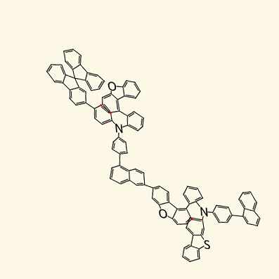 c1ccc(N(c2ccc(-c3ccc4c(c3)C3(c5ccccc5-c5ccccc53)c3ccccc3-4)cc2)c2ccc(-c3cccc4cc(-c5ccc6c(c5)oc5cccc(-c7ccccc7N(c7ccc(-c8cccc9ccccc89)cc7)c7ccc8c(c7)sc7ccccc78)c56)ccc34)cc2)c(-c2cccc3oc4ccccc4c23)c1